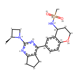 C[C@H]1CCN1c1nc2c(c(-c3ccc4c(c3)C(NS(C)(=O)=O)CCO4)n1)CCC2